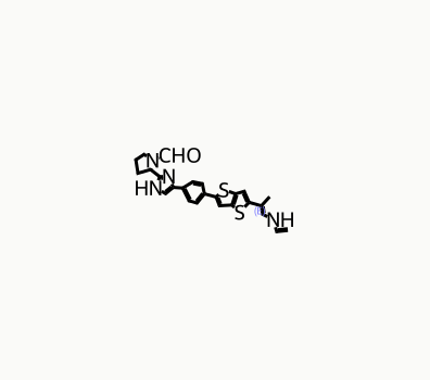 C=CN/C=C(\C)c1cc2sc(-c3ccc(-c4c[nH]c(C5CCCN5C=O)n4)cc3)cc2s1